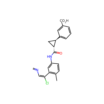 C=N/C=C(/Cl)c1cc(NC(=O)[C@@H]2C[C@H]2c2cccc(C(=O)O)c2)ccc1C